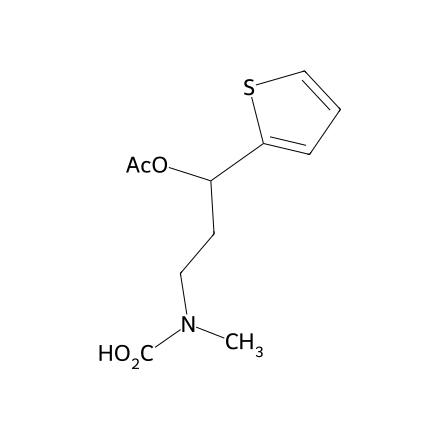 CC(=O)OC(CCN(C)C(=O)O)c1cccs1